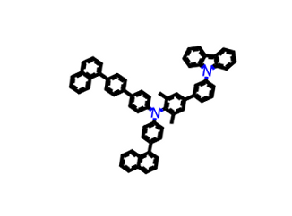 Cc1cc(-c2cccc(-n3c4ccccc4c4ccccc43)c2)cc(C)c1N(c1ccc(-c2ccc(-c3cccc4ccccc34)cc2)cc1)c1ccc(-c2cccc3ccccc23)cc1